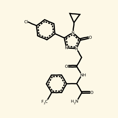 NC(=O)C(NC(=O)Cn1nc(-c2ccc(Cl)cc2)n(C2CC2)c1=O)c1cccc(C(F)(F)F)c1